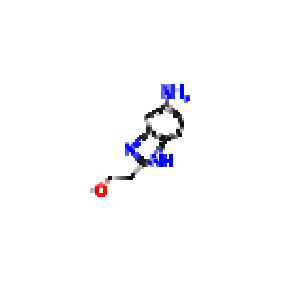 Nc1ccc2[nH]c(CC[O])nc2c1